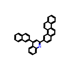 c1ccc2cc(-c3cc(-c4ccc5ccc6c7ccccc7ccc6c5c4)nc4ccccc34)ccc2c1